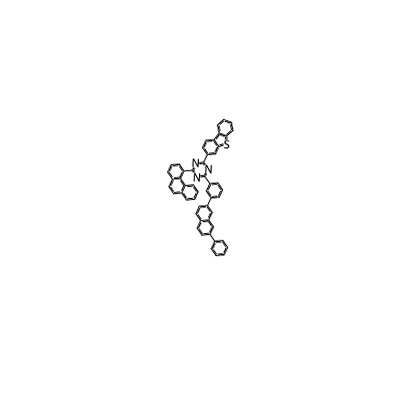 c1ccc(-c2ccc3ccc(-c4cccc(-c5nc(-c6ccc7c(c6)sc6ccccc67)nc(-c6cccc7ccc8ccccc8c67)n5)c4)cc3c2)cc1